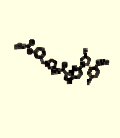 CCCCC(=O)Oc1cccc(CN2CC[C@H](NC(=O)c3cnc4ccc(N5C[C@@H](F)C[C@@H]5c5cc(F)ccc5SC)nn34)C2)c1